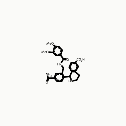 COc1ccc(C(=O)NCc2cc(C(N)=O)ccc2C2NCCc3cc(C(=O)O)ccc32)cc1OC